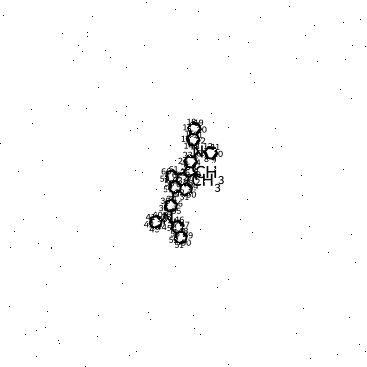 CC1(C)c2cc(N(c3ccccc3)c3ccc4ccccc4c3)ccc2-c2c1c1cccc3c(-c4ccc(N(c5ccccc5)c5ccc6ccccc6c5)cc4)cc4cccc2c4c31